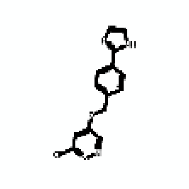 Clc1cc(OCc2ccc(-c3ncc[nH]3)cc2)cnn1